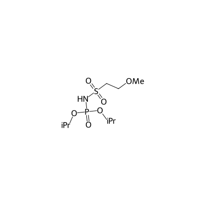 COCCS(=O)(=O)NP(=O)(OC(C)C)OC(C)C